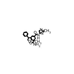 Cn1ncc(NC(=O)C2=CC3=C(OCC3c3ccccc3)C(C)(C(N)=O)C2)n1